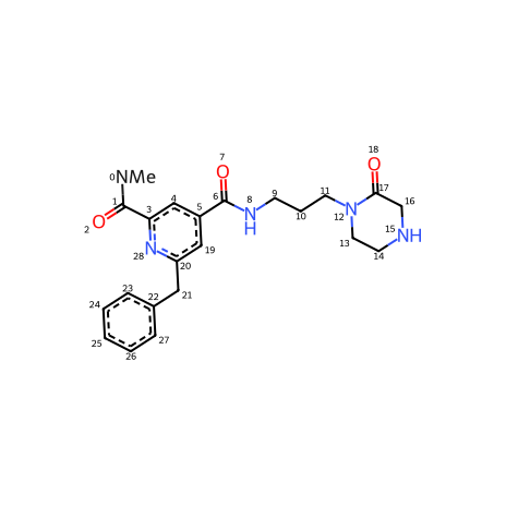 CNC(=O)c1cc(C(=O)NCCCN2CCNCC2=O)cc(Cc2ccccc2)n1